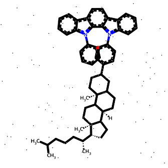 CC(C)CCC[C@@H](C)[C@H]1CCC2[C@@H]3CCC4CC(c5ccc(-n6c7ccccc7c7ccc8c9ccccc9n(-c9ccccc9)c8c76)cc5)CC[C@]4(C)C3CC[C@@]21C